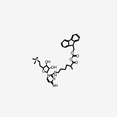 C=P(C)(C)CCC1O[C@@H](n2ccc(=N)nc2NCCCCC(C)C(=O)OC(=O)OCC2c3ccccc3-c3ccccc32)[C@H](O)[C@@H]1O